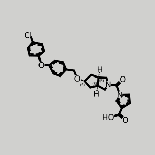 O=C(O)c1ccn(C(=O)N2C[C@H]3C[C@H](OCc4ccc(Oc5ccc(Cl)cc5)cc4)C[C@H]3C2)c1